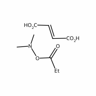 CCC(=O)ON(C)C.O=C(O)C=CC(=O)O